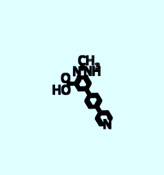 Cc1nc2c(C(=O)O)cc(-c3ccc(-c4ccncc4)cc3)cc2[nH]1